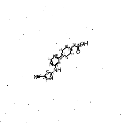 N#Cc1cnc(Nc2cc(N3CCN(CC(=O)O)CC3)ncn2)s1